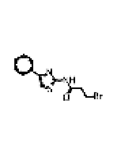 O=C(CCBr)Nc1nc(-c2ccccc2)cs1